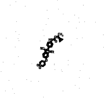 CCn1c(-c2ccc(NC(=O)O[C@H](C)C3CC3)cc2)c(C#N)c2ccc(OC3CCS(=O)(=O)CC3)cc21